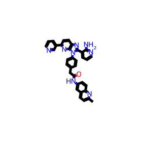 Cc1ccc2cc(NC(=O)Cc3ccc(-n4c(-c5cccnc5N)nc5ccc(-c6cccnc6)nc54)cc3)ccc2n1